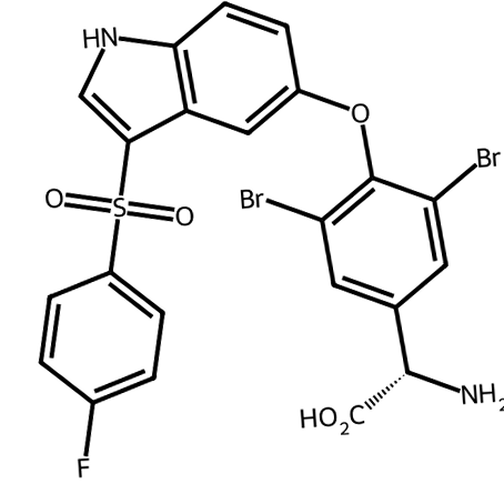 N[C@H](C(=O)O)c1cc(Br)c(Oc2ccc3[nH]cc(S(=O)(=O)c4ccc(F)cc4)c3c2)c(Br)c1